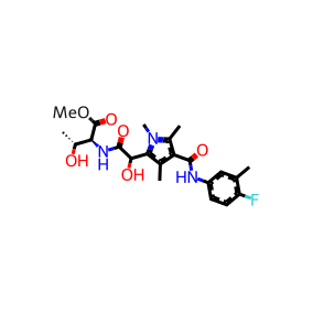 COC(=O)[C@@H](NC(=O)C(O)c1c(C)c(C(=O)Nc2ccc(F)c(C)c2)c(C)n1C)[C@@H](C)O